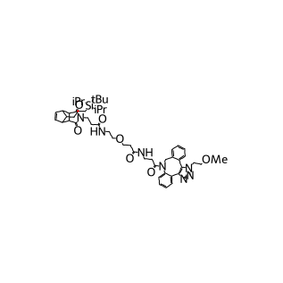 COCCn1nnc2c1-c1ccccc1CN(C(=O)CCNC(=O)CCOCCNC(=O)CCN1C(=O)C3C4C=CC(C4CCC[Si](C(C)C)(C(C)C)C(C)(C)C)C3C1=O)c1ccccc1-2